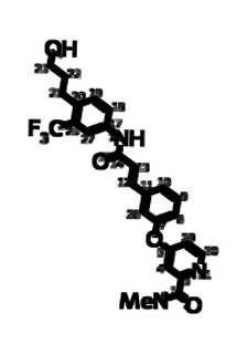 CNC(=O)c1cc(Oc2cccc(C=CC(=O)Nc3ccc(CCCO)c(C(F)(F)F)c3)c2)ccn1